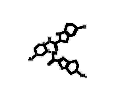 CC(=O)N1CC[C@@H](NC(=O)C2Cc3cc(Cl)ccc3N2)[C@H](NC(=O)c2nc3c(s2)CN(C)CC3)C1